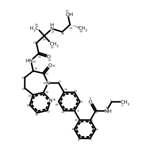 CCNC(=O)c1ccccc1-c1ccc(CN2C(=O)C(NC(=O)CC(C)(C)NC[C@@H](C)O)CCc3cccnc32)cc1